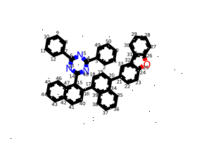 c1ccc(-c2nc(-c3ccccc3)nc(-c3c(-c4ccc(-c5ccc6oc7ccccc7c6c5)c5ccccc45)ccc4ccccc34)n2)cc1